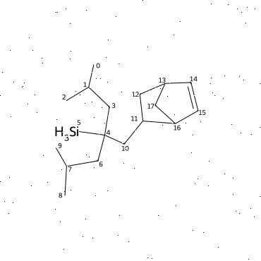 CC(C)CC([SiH3])(CC(C)C)CC1CC2C=CC1C2